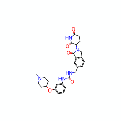 CN1CCC(Oc2cccc(NC(=O)NCc3ccc4c(c3)C(=O)N(C3CCC(=O)NC3=O)C4)c2)CC1